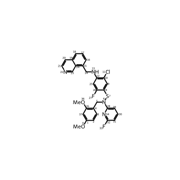 COc1ccc(CN(Sc2cc(Cl)c(NCc3cccc4ccncc34)cc2F)c2cccc(F)n2)c(OC)c1